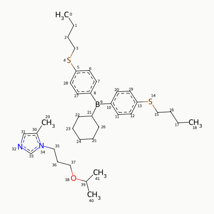 CCCCSc1ccc(B(c2ccc(SCCCC)cc2)C2CCCCC2)cc1.Cc1cncn1CCCOC(C)C